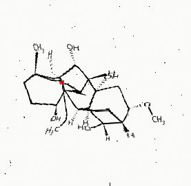 CCN1C[C@]2(C)CC[C@H](O)[C@]34C1[C@H]([C@@H](O)[C@H]23)[C@@]1(O)C[C@H](OC)[C@H]2C[C@@H]4[C@@H]1[C@H]2O